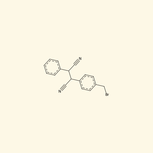 N#CC(c1ccccc1)C(C#N)c1ccc(CBr)cc1